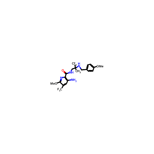 COc1ccc(CNC(C)(CNC(=O)c2nc(OC)c(C(F)(F)F)cc2N)C(F)(F)F)cc1